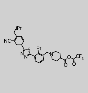 CCc1c(CN2CCC(C(=O)OC(=O)C(F)(F)F)CC2)cccc1-c1nnc(-c2ccc(CC(C)C)c(C#N)c2)s1